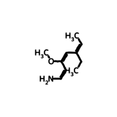 C\C=C(/C=C(\C=C/N)OC)CC